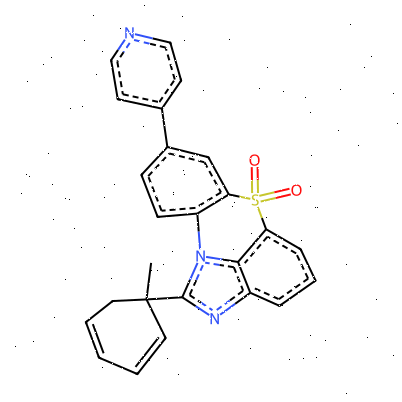 CC1(c2nc3cccc4c3n2-c2ccc(-c3ccncc3)cc2S4(=O)=O)C=CC=CC1